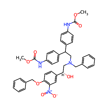 COC(=O)Nc1ccc(C(CN(Cc2ccccc2)C[C@H](O)c2ccc(OCc3ccccc3)c([N+](=O)[O-])c2)c2ccc(NC(=O)OC)cc2)cc1